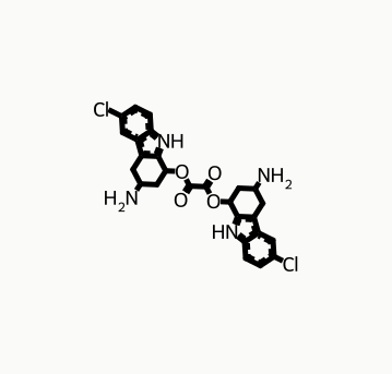 NC1Cc2c([nH]c3ccc(Cl)cc23)C(OC(=O)C(=O)OC2CC(N)Cc3c2[nH]c2ccc(Cl)cc32)C1